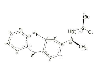 C[C@H](N[S@+]([O-])C(C)(C)C)c1ccc(Oc2ccccc2)c(F)c1